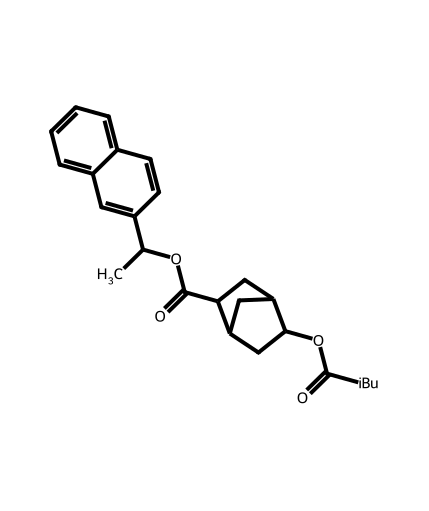 CCC(C)C(=O)OC1CC2CC1CC2C(=O)OC(C)c1ccc2ccccc2c1